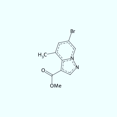 COC(=O)c1cnn2cc(Br)cc(C)c12